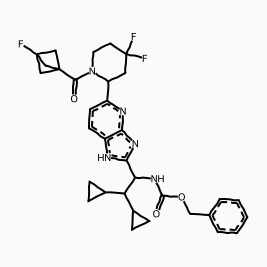 O=C(NC(c1nc2nc(C3CC(F)(F)CCN3C(=O)C34CC(F)(C3)C4)ccc2[nH]1)C(C1CC1)C1CC1)OCc1ccccc1